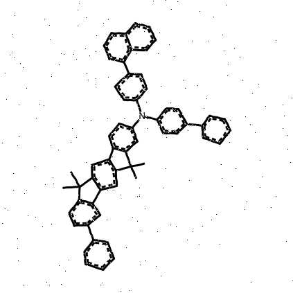 CC1(C)c2ccc(-c3ccccc3)cc2-c2cc3c(cc21)-c1ccc(N(c2ccc(-c4ccccc4)cc2)c2ccc(-c4cccc5ccccc45)cc2)cc1C3(C)C